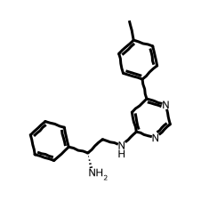 Cc1ccc(-c2cc(NC[C@H](N)c3ccccc3)ncn2)cc1